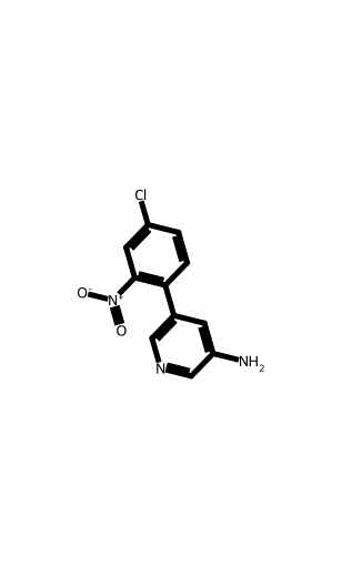 Nc1cncc(-c2ccc(Cl)cc2[N+](=O)[O-])c1